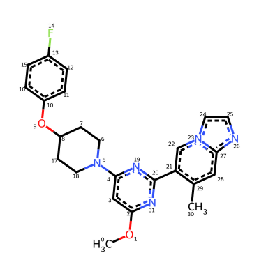 COc1cc(N2CCC(Oc3ccc(F)cc3)CC2)nc(-c2cn3ccnc3cc2C)n1